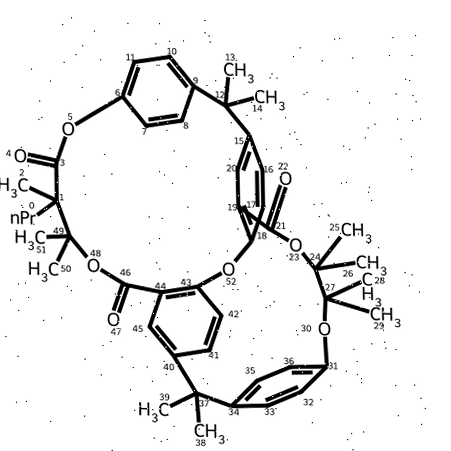 CCCC1(C)C(=O)Oc2ccc(cc2)C(C)(C)c2ccc3c(c2)C(=O)OC(C)(C)C(C)(C)Oc2ccc(cc2)C(C)(C)c2ccc(c(c2)C(=O)OC1(C)C)O3